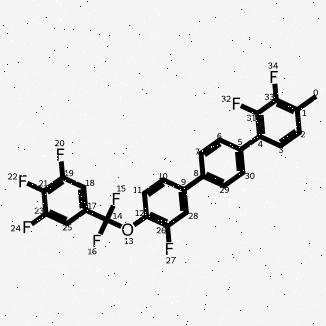 Cc1ccc(-c2ccc(-c3ccc(OC(F)(F)c4cc(F)c(F)c(F)c4)c(F)c3)cc2)c(F)c1F